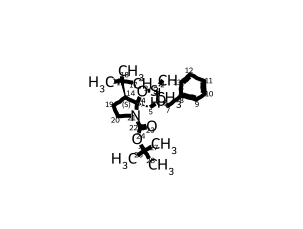 C[SiH](C)O[C@]1(COCc2ccccc2)[C@H](C(C)(C)C)CCN1C(=O)OC(C)(C)C